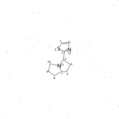 c1csc(C2CCC3CCCN32)n1